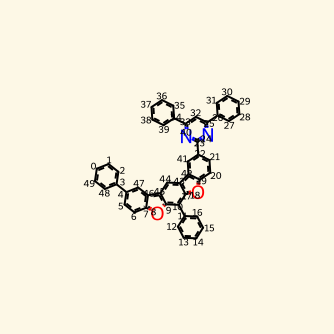 c1ccc(-c2ccc3oc4c(-c5ccccc5)c5oc6ccc(-c7nc(-c8ccccc8)cc(-c8ccccc8)n7)cc6c5cc4c3c2)cc1